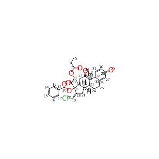 CCC(=O)OCC(=O)[C@@]1(OC(=O)c2ccccc2)C(=CCl)C[C@H]2[C@@H]3CCC4=CC(=O)C=C[C@]4(C)[C@H]3C(=O)C[C@@]21C